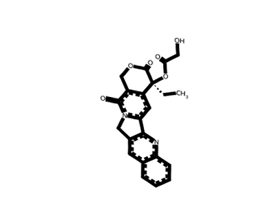 CC[C@@]1(OC(=O)CO)C(=O)OCc2c1cc1n(c2=O)Cc2cc3ccccc3nc2-1